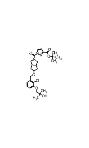 CC(C)(O)COc1cccc(COC2CC3CN(C(=O)n4ccc(C(=O)OC(C)(C)C)n4)CC3C2)c1Cl